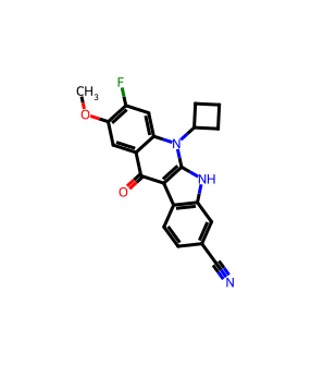 COc1cc2c(=O)c3c4ccc(C#N)cc4[nH]c3n(C3CCC3)c2cc1F